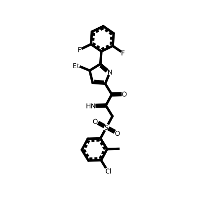 CCC1C=C(C(=O)C(=N)CS(=O)(=O)c2cccc(Cl)c2C)N=C1c1c(F)cccc1F